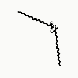 C=C(OC(=C)C(=O)CCCCCCCC=CCCCCCCCC)C(=O)CCCCCCCC=CCCCCCCCC